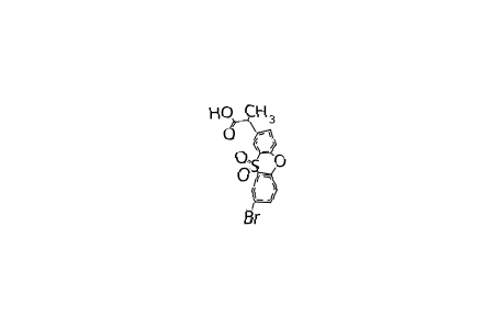 CC(C(=O)O)c1ccc2c(c1)S(=O)(=O)c1cc(Br)ccc1O2